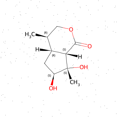 C[C@H]1COC(=O)[C@H]2[C@@H]1C[C@H](O)[C@@]2(C)O